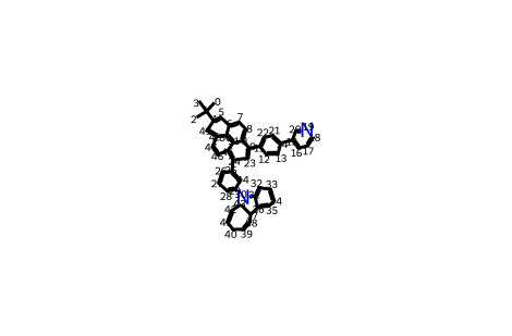 CC(C)(C)c1cc2ccc3c(-c4ccc(-c5cccnc5)cc4)cc(-c4cccc(N5c6ccccc6C6C=CCC=CC65)c4)c4ccc(c1)c2c34